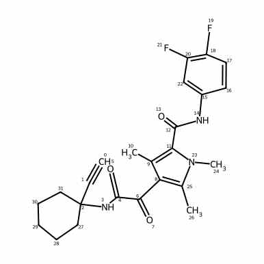 C#CC1(NC(=O)C(=O)c2c(C)c(C(=O)Nc3ccc(F)c(F)c3)n(C)c2C)CCCCC1